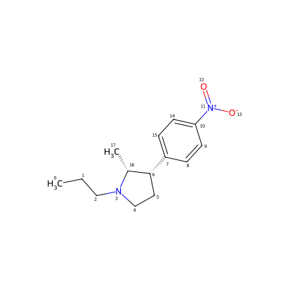 CCCN1CC[C@@H](c2ccc([N+](=O)[O-])cc2)[C@H]1C